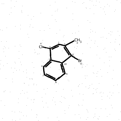 Cc1cc(Cl)c2ccccc2c1Br